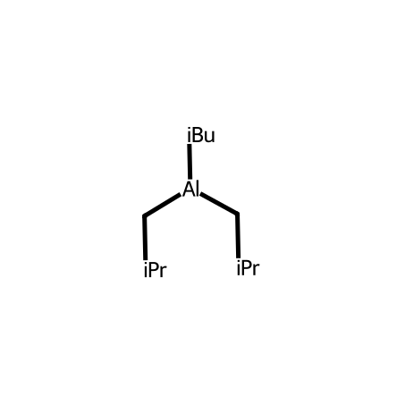 CC[CH](C)[Al]([CH2]C(C)C)[CH2]C(C)C